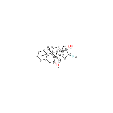 C[C@]12CCCCC1CC(=O)[C@@H]1[C@H]2CC[C@]2(C)C(O)C(F)C[C@@H]12